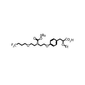 CCCCOC(=O)N(CCOCCCC(F)(F)F)CCOc1ccc(CC(OCC)C(=O)O)cc1